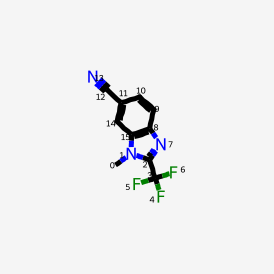 Cn1c(C(F)(F)F)nc2ccc(C#N)cc21